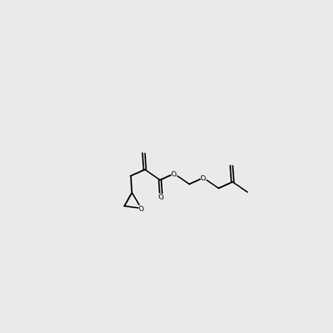 C=C(C)COCOC(=O)C(=C)CC1CO1